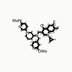 CNc1ccc(N2CCCC(N(Cc3ccnc(OC)c3)Cc3cn(C4CC4)c4cc(F)c(F)cc4c3=O)C2)cn1